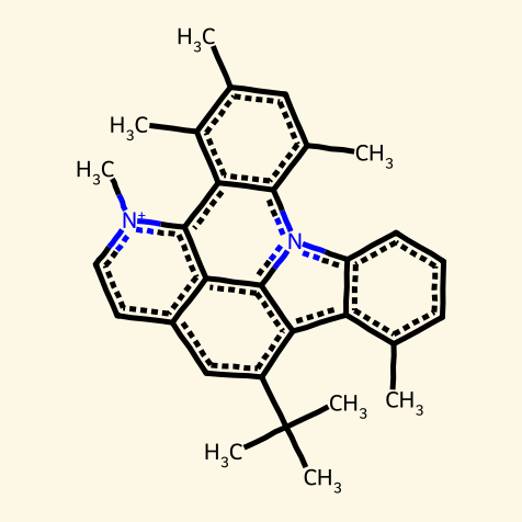 Cc1cc(C)c2c(c1C)c1c3c(cc[n+]1C)cc(C(C)(C)C)c1c4c(C)cccc4n2c13